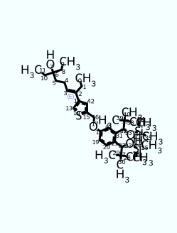 CC/C(=C\CCC(O)(CC)CC)c1csc(COc2ccc(C(O[SiH](C)C)C(C)(C)C)c(C(O[SiH](C)C)C(C)(C)C)c2)c1